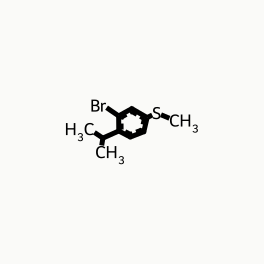 CSc1ccc(C(C)C)c(Br)c1